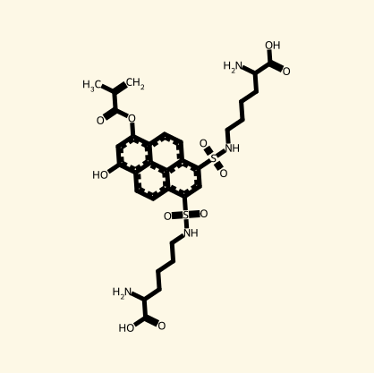 C=C(C)C(=O)Oc1cc(O)c2ccc3c(S(=O)(=O)NCCCCC(N)C(=O)O)cc(S(=O)(=O)NCCCCC(N)C(=O)O)c4ccc1c2c34